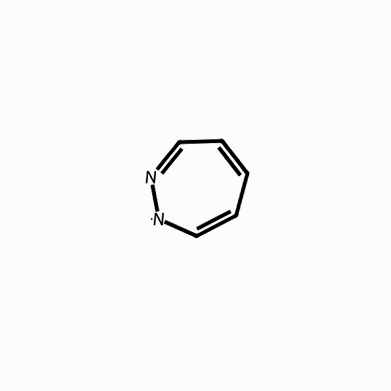 C1=CC=N[N]C=C1